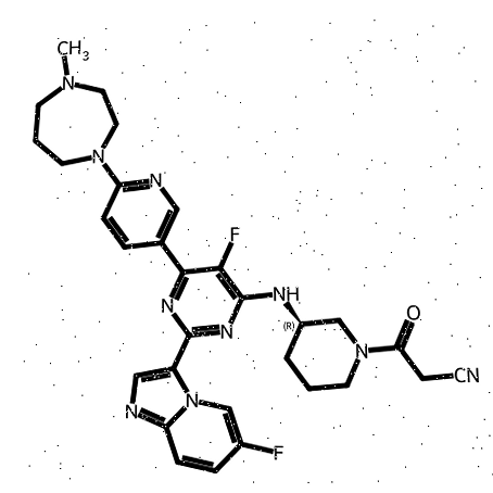 CN1CCCN(c2ccc(-c3nc(-c4cnc5ccc(F)cn45)nc(N[C@@H]4CCCN(C(=O)CC#N)C4)c3F)cn2)CC1